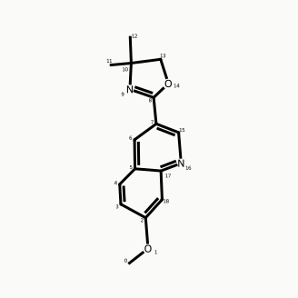 COc1ccc2cc(C3=NC(C)(C)CO3)cnc2c1